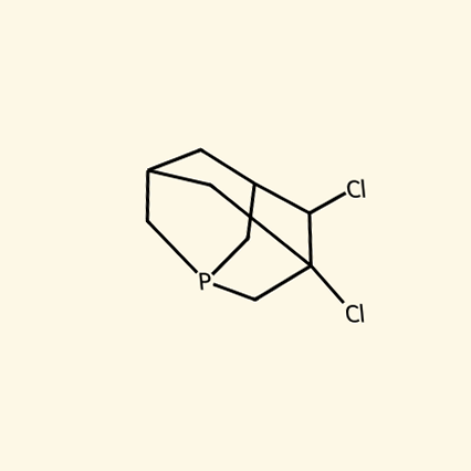 ClC1C2CC3CP(C2)CC1(Cl)C3